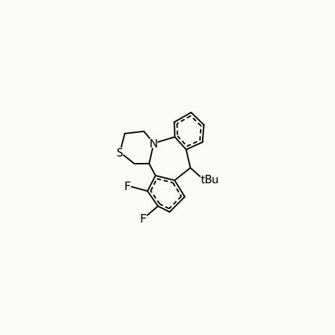 CC(C)(C)C1c2ccccc2N2CCSCC2c2c1ccc(F)c2F